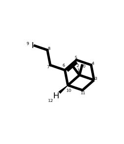 CC1(C)C2CC=C(CCI)[C@H]1C2